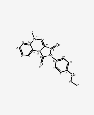 CCOc1ccc(-n2c(=O)c3cn(C)c4ccccc4n-3c2=O)cc1